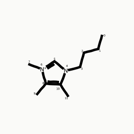 CCCCn1c[n+](C)c(C)c1C